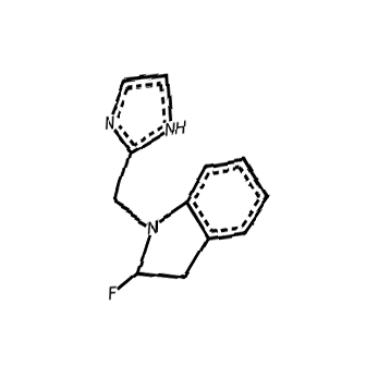 FC1Cc2ccccc2N1Cc1ncc[nH]1